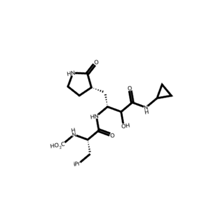 CC(C)C[C@H](NC(=O)O)C(=O)N[C@H](C[C@@H]1CCNC1=O)C(O)C(=O)NC1CC1